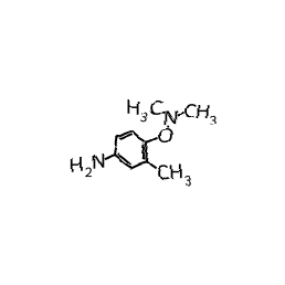 Cc1cc(N)ccc1ON(C)C